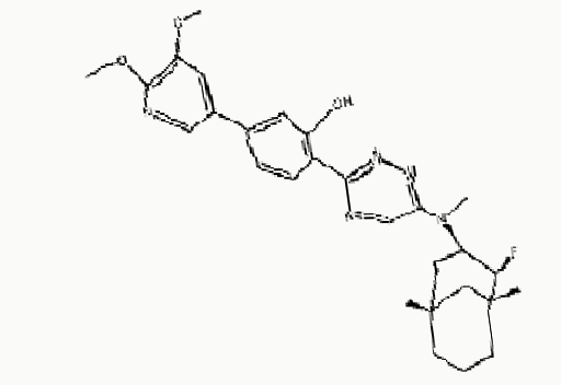 COc1cc(-c2ccc(-c3ncc(N(C)[C@@H]4C[C@@]5(C)CCC[C@](C)(C5)[C@@H]4F)nn3)c(O)c2)cnc1OC